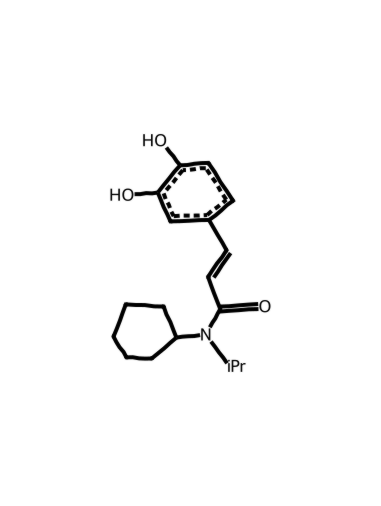 CC(C)N(C(=O)/C=C/c1ccc(O)c(O)c1)C1CCCCC1